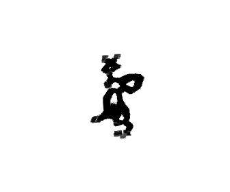 NCC1Cc2c(-c3ccccc3C(=O)N3CC(F)(F)C3)ccc(Cl)c2O1